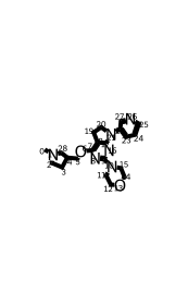 CN1CCC(COc2nc(N3CCOCC3)nc3c2CCN3c2cccnc2)C1